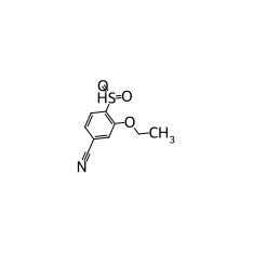 CCOc1cc(C#N)ccc1[SH](=O)=O